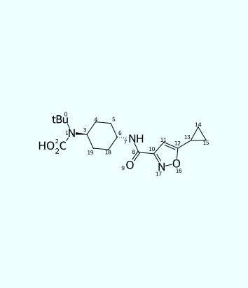 CC(C)(C)N(C(=O)O)[C@H]1CC[C@H](NC(=O)c2cc(C3CC3)on2)CC1